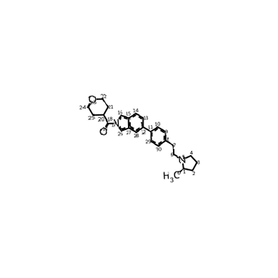 C[C@@H]1CCCN1CCc1ccc(-c2ccc3cn(C(=O)C4CCOCC4)cc3c2)cc1